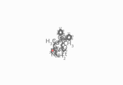 CCC1COC(CC(C)N(CO[C@H](C)Cn2cnc3c(N)ncnc32)P(=O)(Oc2ccccc2)Oc2ccccc2)O1